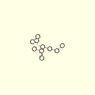 c1ccc(-c2cccc(-c3ccc(-c4ccc(N(c5ccccc5-c5cccc6c5sc5ccccc56)c5cc6ccccc6c6ccccc56)cc4)cc3)c2)cc1